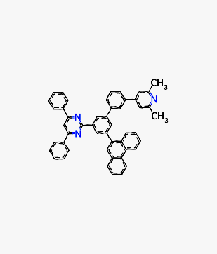 Cc1cc(-c2cccc(-c3cc(-c4nc(-c5ccccc5)cc(-c5ccccc5)n4)cc(-c4cc5ccccc5c5ccccc45)c3)c2)cc(C)n1